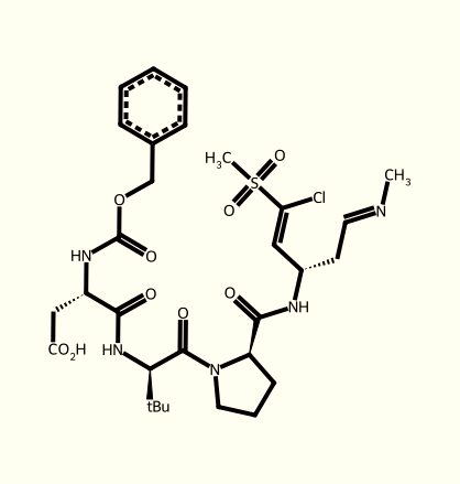 C/N=C/C[C@@H](/C=C(\Cl)S(C)(=O)=O)NC(=O)[C@H]1CCCN1C(=O)[C@H](NC(=O)[C@H](CC(=O)O)NC(=O)OCc1ccccc1)C(C)(C)C